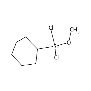 C[O][Sn]([Cl])([Cl])[CH]1CCCCC1